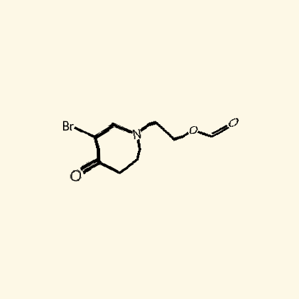 O=COCCN1CCC(=O)C(Br)C1